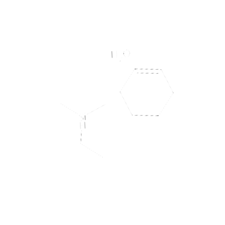 C1=CCCCC1.CC[SiH](C)C.O